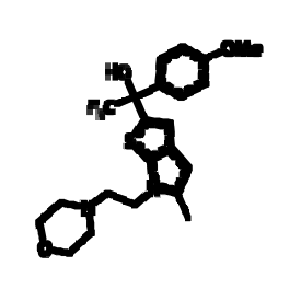 COc1ccc(C(O)(c2cc3cc(C)n(CCN4CCOCC4)c3s2)C(F)(F)F)cc1